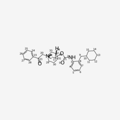 O=C(Nc1ccccc1CC1CCCCC1)O[C@H]1C[N+]2(CC(=O)c3ccccc3)CCC1CC2